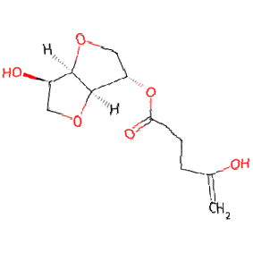 C=C(O)CCC(=O)O[C@H]1CO[C@H]2[C@@H]1OC[C@H]2O